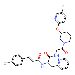 O=C(/C=C/c1ccc(Cl)cc1)NC(Cc1ccccn1)C(=O)NCC(=O)N1CCCC(Oc2ccc(Cl)cn2)C1